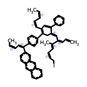 C=C/C=C(\C=C1/CC(c2ccc(/C(=C/C=C\C)c3ccc4cc5ccccc5cc4c3)cc2)=C(/C=C\C=C/C)C=C1c1ccccc1)C(/C)=C/C=C\CI